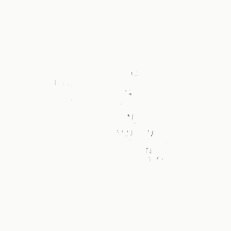 O=c1[nH]c(=S)n(CC2=NOC(c3ccc(-c4ccc(C(F)(F)F)cc4)cc3)N2CCN2CCOCC2)c2c1CCC2